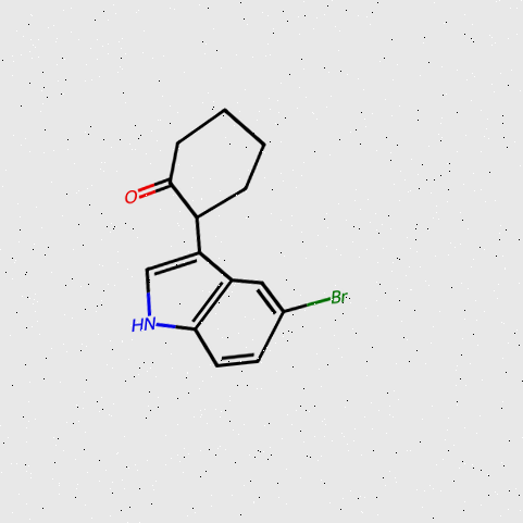 O=C1CCCCC1c1c[nH]c2ccc(Br)cc12